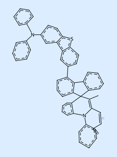 C=C/C=C\C1=C(C)C2(c3ccccc3-c3c(-c4ccc5sc6ccc(N(c7ccccc7)c7ccccc7)cc6c5c4)cccc32)c2ccccc2N1c1ccccc1